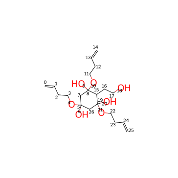 C=CCCOC1(O)CC(O)(OCCC=C)C(CCO)C(O)(OCCC=C)C1